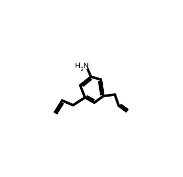 C=CCc1cc(N)cc(CC=C)c1